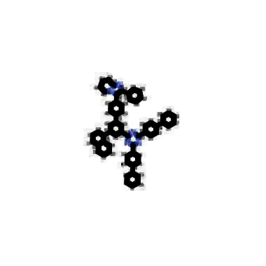 c1ccc(-c2ccc(-c3nc(-c4ccc(-c5ccccc5)cc4)nc(-c4cc(-c5ccc(-c6c(-c7ccccc7)nc7ccccn67)cc5)cc(-c5cccc6ccccc56)c4)n3)cc2)cc1